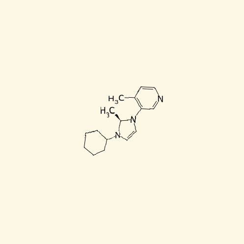 Cc1ccncc1N1C=CN(C2CCCCC2)[C@H]1C